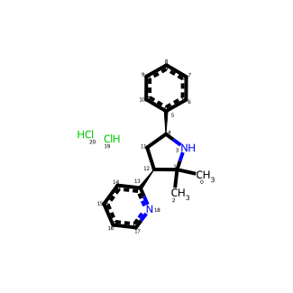 CC1(C)N[C@H](c2ccccc2)C[C@@H]1c1ccccn1.Cl.Cl